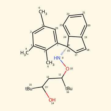 Cc1cc(C)c(C)c([C@]2(NOC(CC(O)C(C)(C)C)C(C)(C)C)C=Cc3ccccc32)c1